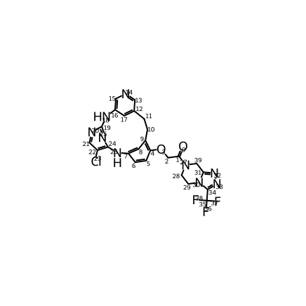 O=C(COc1ccc2cc1CCc1cncc(c1)Nc1ncc(Cl)c(n1)N2)N1CCn2c(nnc2C(F)(F)F)C1